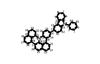 c1ccc(-n2c3ccccc3c3cc(-c4ccc5c(c4)-c4cccc6ccc7c(c46)N5c4cccc5cccc-7c45)ccc32)cc1